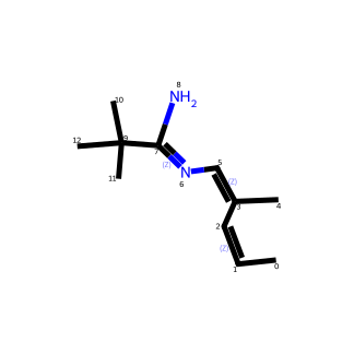 C\C=C/C(C)=C\N=C(/N)C(C)(C)C